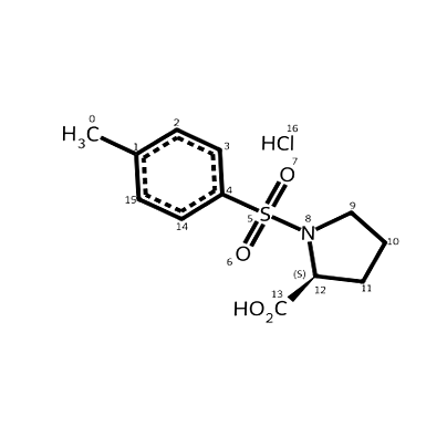 Cc1ccc(S(=O)(=O)N2CCC[C@H]2C(=O)O)cc1.Cl